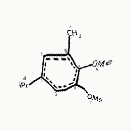 COc1cc(C(C)C)cc(C)c1OC